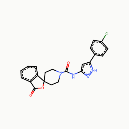 O=C1OC2(CCN(C(=O)Nc3cc(-c4ccc(Cl)cc4)[nH]n3)CC2)c2ccccc21